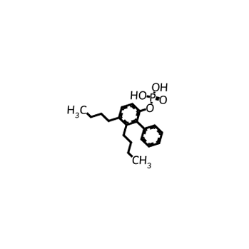 CCCCc1ccc(OP(=O)(O)O)c(-c2ccccc2)c1CCCC